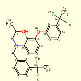 OC(CN(Cc1cccc(C(F)(F)C(F)(F)F)c1)c1cccc(Oc2cccc(C(F)(F)C(F)(F)F)c2)c1)C(F)(F)F